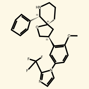 COc1ccc(-n2ccnc2C(F)(F)F)cc1[C@H]1CO[C@]2(CCCN[C@H]2c2ccccc2)C1